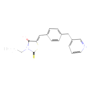 O=C(O)CN1C(=O)/C(=C/c2ccc(Cc3cccnc3)cc2)SC1=S